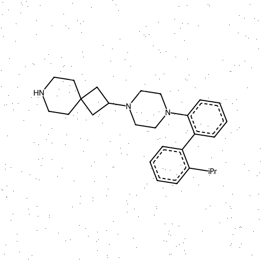 CC(C)c1ccccc1-c1ccccc1N1CCN(C2CC3(CCNCC3)C2)CC1